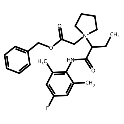 CCC(C(=O)Nc1c(C)cc(F)cc1C)[N+]1(CC(=O)OCc2ccccc2)CCCC1